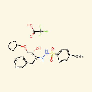 COc1ccc(S(=O)(=O)NN[C@@H](Cc2ccccc2)[C@@H](O)COC2CCCC2)cc1.O=C(O)C(F)(F)F